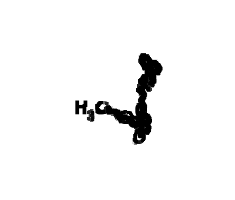 CCCCCOCOCN1C(=O)CCc2ccc(OCCCCN3CCN(c4cccc5ccccc45)CC3)nc21